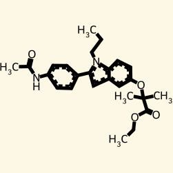 CCCn1c(-c2ccc(NC(C)=O)cc2)cc2cc(OC(C)(C)C(=O)OCC)ccc21